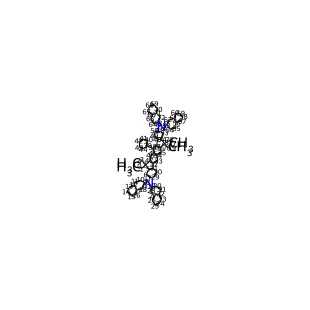 CCC1(CC)c2cc(N(c3ccc4ccccc4c3)c3ccc4ccccc4c3)ccc2-c2cc3cc4c(c(-c5ccccc5)c3cc21)-c1ccc(N(c2ccc3ccccc3c2)c2ccc3ccccc3c2)cc1C4(CC)CC